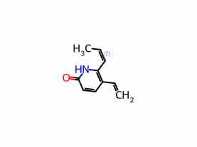 C=Cc1ccc(=O)[nH]c1/C=C\C